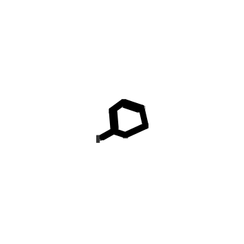 FC1=CC=[C]C[C]1